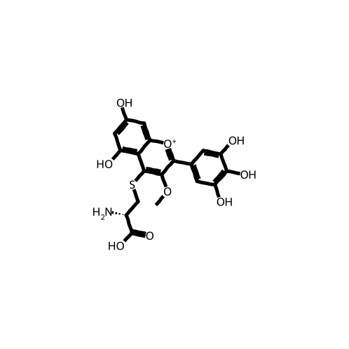 COc1c(-c2cc(O)c(O)c(O)c2)[o+]c2cc(O)cc(O)c2c1SC[C@@H](N)C(=O)O